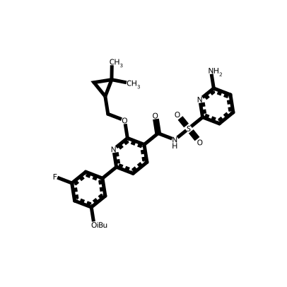 CC(C)COc1cc(F)cc(-c2ccc(C(=O)NS(=O)(=O)c3cccc(N)n3)c(OCC3CC3(C)C)n2)c1